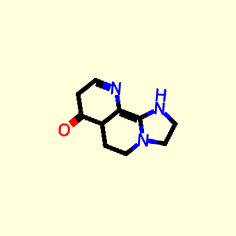 O=C1CC=NC2=C3NCCN3CCC12